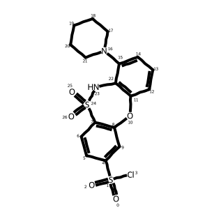 O=S(=O)(Cl)c1ccc2c(c1)Oc1cccc(N3CCCCC3)c1NS2(=O)=O